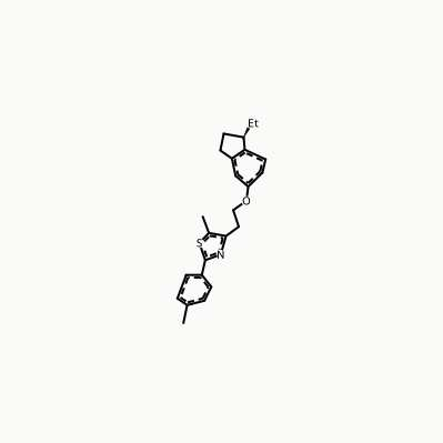 CC[C@@H]1CCc2cc(OCCc3nc(-c4ccc(C)cc4)sc3C)ccc21